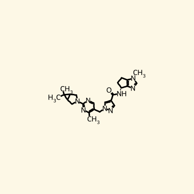 Cc1nc(N2CC3C(C2)C3(C)C)ncc1Cn1cc(C(=O)N[C@@H]2CCc3c2ncn3C)cn1